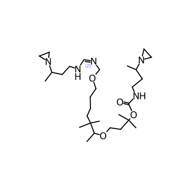 CC(CCN/C=N\COCCCCC(C)(C)C(C)OCCC(C)(C)OC(=O)NCCC(C)N1CC1)N1CC1